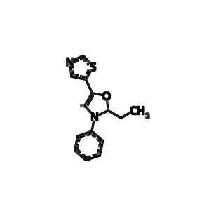 CCC1OC(c2cncs2)=[C]N1c1ccccc1